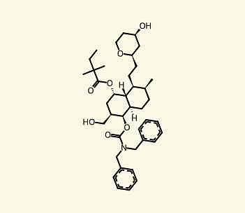 CCC(C)(C)C(=O)O[C@H]1C[C@H](CO)[C@H](OC(=O)N(Cc2ccccc2)Cc2ccccc2)[C@@H]2CC[C@H](C)[C@H](CC[C@@H]3C[C@H](O)CCO3)[C@H]21